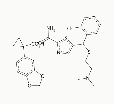 CN(C)CCSC(c1cnc(C(N)=O)s1)c1ccccc1Cl.O=C(O)C1(c2ccc3c(c2)OCO3)CC1